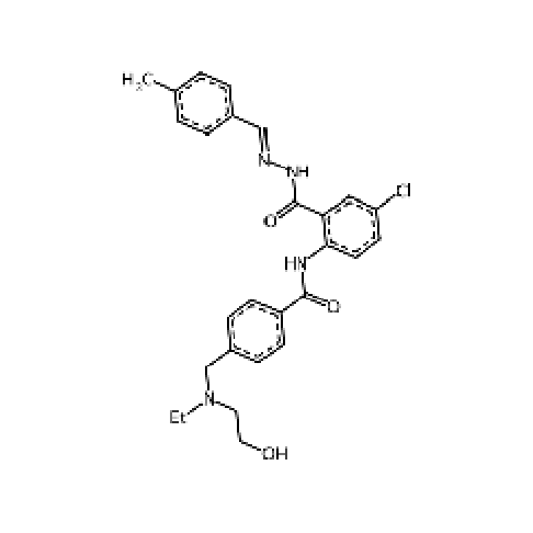 CCN(CCO)Cc1ccc(C(=O)Nc2ccc(Cl)cc2C(=O)NN=Cc2ccc(C)cc2)cc1